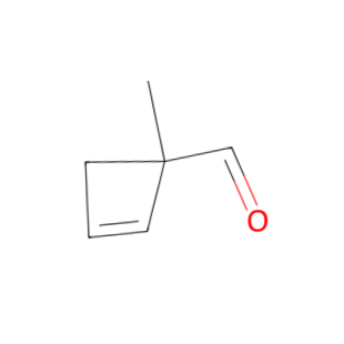 CC1(C=O)C=CC1